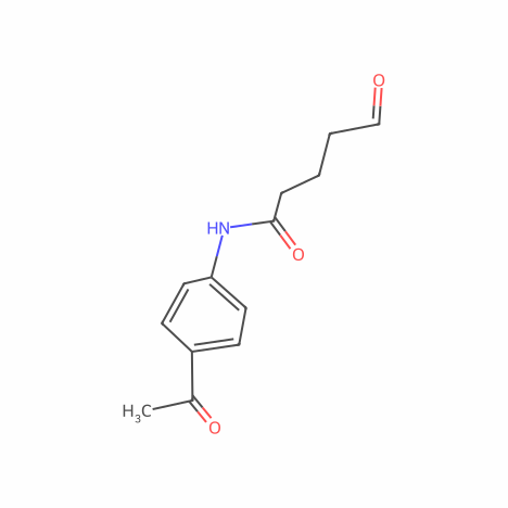 CC(=O)c1ccc(NC(=O)CCCC=O)cc1